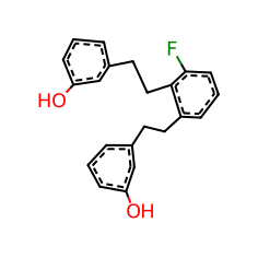 Oc1cccc(CCc2cccc(F)c2CCc2cccc(O)c2)c1